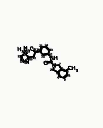 Cc1cccc2c1CN(C(=O)Nc1cccc(C(C)Cc3nncn3C)c1)C2